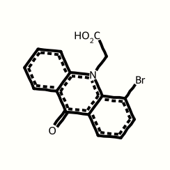 O=C(O)Cn1c2ccccc2c(=O)c2cccc(Br)c21